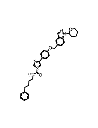 O=C(NCCCCc1ccccc1)n1cnc(-c2ccc(OCc3ccc4c(cnn4C4CCCCO4)c3)cc2)c1